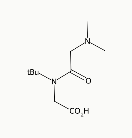 CN(C)CC(=O)N(CC(=O)O)C(C)(C)C